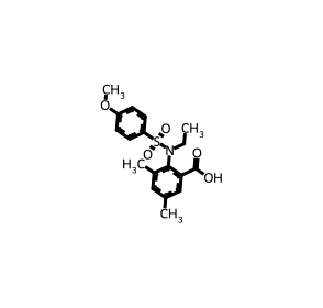 CCN(c1c(C)cc(C)cc1C(=O)O)S(=O)(=O)c1ccc(OC)cc1